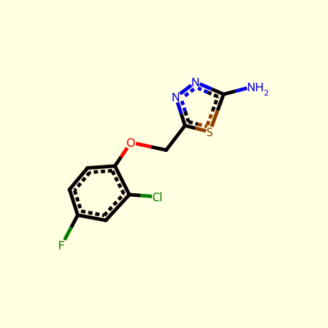 Nc1nnc(COc2ccc(F)cc2Cl)s1